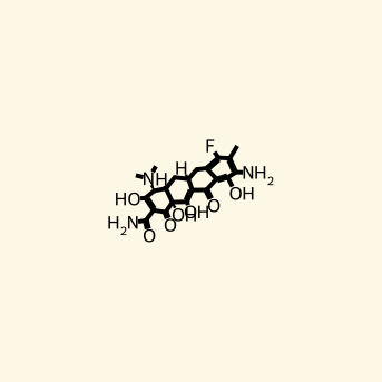 Cc1c(N)c(O)c2c(c1F)C[C@H]1C[C@H]3[C@H](N(C)C)C(O)=C(C(N)=O)C(=O)[C@@]3(O)C(O)=C1C2=O